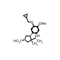 COc1ccc([C@@H]2CN(C(=O)O)C[C@@]2(C)[C@@H](C)O)cc1OCC1CC1